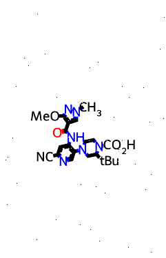 COc1nn(C)cc1C(=O)Nc1cc(C#N)ncc1N1CCN(C(=O)O)C(C(C)(C)C)C1